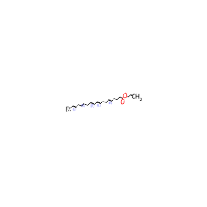 C=CCOC(=O)CCC/C=C/CC/C=C/C=C/C/C=C/C/C=C/CC